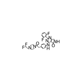 O=C1NCc2nc(-c3c(F)cccc3F)nc(Nc3ccc(CC(=O)N4CCN(CC(F)F)CC4)cc3)c21